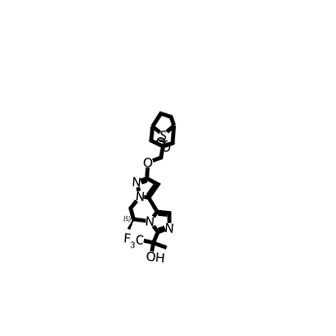 C[C@H]1Cn2nc(OCC3CC4CCC(C3)S4(=O)=O)cc2-c2cnc(C(C)(O)C(F)(F)F)n21